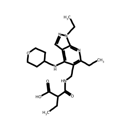 CCc1nc2c(cnn2CC)c(NC2CCOCC2)c1CNC(=O)C(CC)C(=O)O